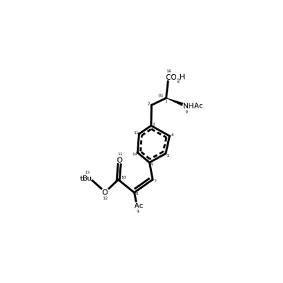 CC(=O)N[C@@H](Cc1ccc(C=C(C(C)=O)C(=O)OC(C)(C)C)cc1)C(=O)O